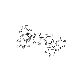 C1=CCC2C(=C1)C1=C(C=C(C3=CC=C(n4c5ccccc5c5ccccc54)CC3)CC1)C21CCCCC1